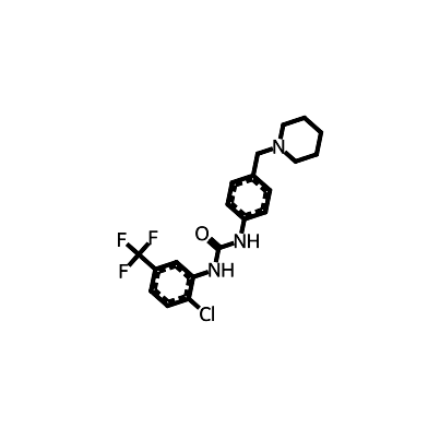 O=C(Nc1ccc(CN2CCCCC2)cc1)Nc1cc(C(F)(F)F)ccc1Cl